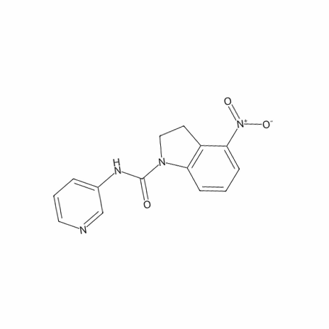 O=C(Nc1cccnc1)N1CCc2c1cccc2[N+](=O)[O-]